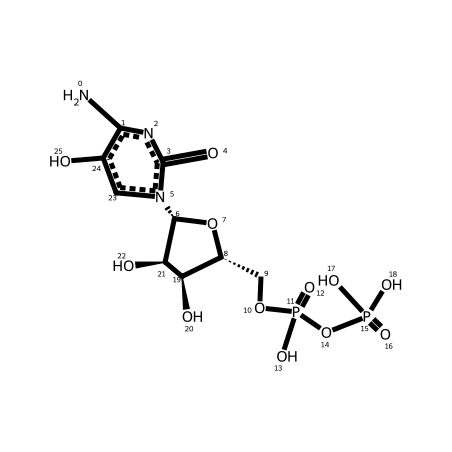 Nc1nc(=O)n([C@@H]2O[C@H](COP(=O)(O)OP(=O)(O)O)[C@@H](O)[C@H]2O)cc1O